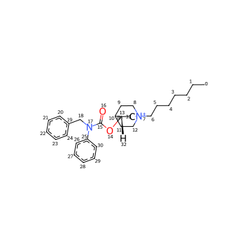 CCCCCCC[N+]12CCC(CC1)[C@@H](OC(=O)N(Cc1ccccc1)c1ccccc1)C2